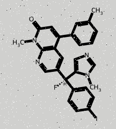 Cc1cccc(-c2cc(=O)n(C)c3ncc([C@](F)(c4ccc(I)cc4)c4cncn4C)cc23)c1